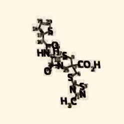 Cc1nsc(SCC2(C(=O)O)CS[C@@H]3C(NC(=O)Cc4cccs4)C(=O)N3C2)n1